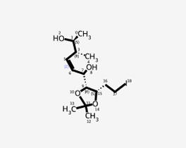 C[C@H](O)[C@H](C)/C=C\C(O)[C@H]1OC(C)(C)O[C@H]1CCI